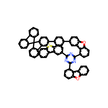 c1ccc2c(c1)-c1ccccc1C21c2ccccc2-c2cc(-c3ccc(-c4ccc5oc6cccc(-c7nc(-c8ccc9sc%10ccccc%10c9c8)nc(-c8cccc9oc%10ccccc%10c89)n7)c6c5c4)cc3)ccc21